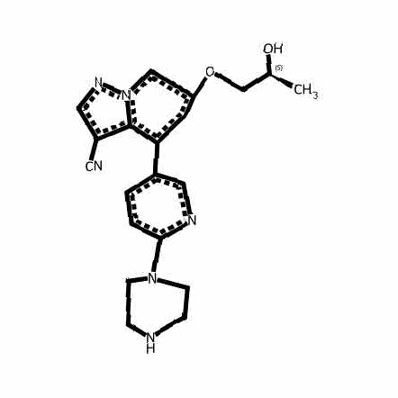 C[C@H](O)COc1cc(-c2ccc(N3CCNCC3)nc2)c2c(C#N)cnn2c1